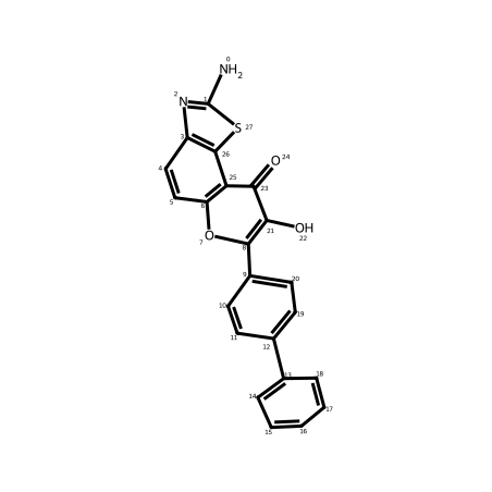 Nc1nc2ccc3oc(-c4ccc(-c5ccccc5)cc4)c(O)c(=O)c3c2s1